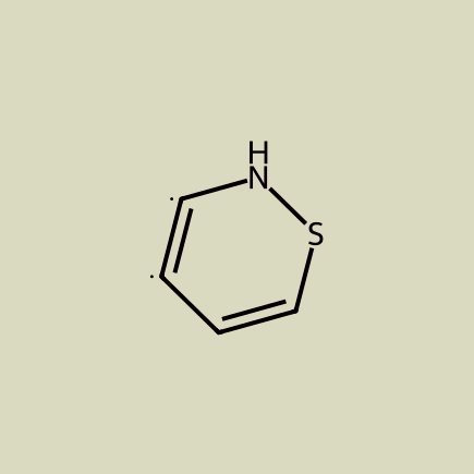 [C]1=[C]NSC=C1